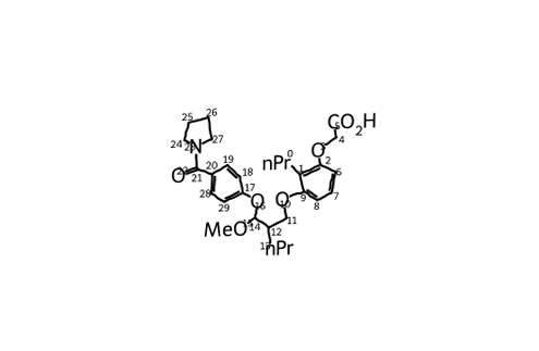 CCCc1c(OCC(=O)O)cccc1OCC(CCC)C(OC)Oc1ccc(C(=O)N2CCCC2)cc1